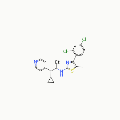 CCC(Nc1nc(-c2ccc(Cl)cc2Cl)c(C)s1)C(c1ccncc1)C1CC1